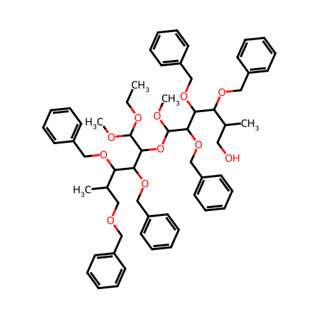 CCOC(OC)C(OC(OC)C(OCc1ccccc1)C(OCc1ccccc1)C(OCc1ccccc1)C(C)CO)C(OCc1ccccc1)C(OCc1ccccc1)C(C)COCc1ccccc1